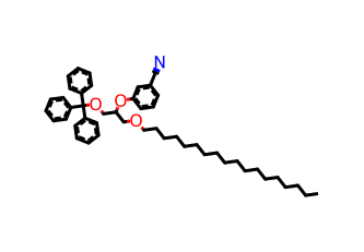 CCCCCCCCCCCCCCCCCCOCC(COC(c1ccccc1)(c1ccccc1)c1ccccc1)Oc1cccc(C#N)c1